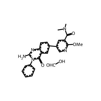 COc1ncc(-c2ccc3nc(N)n(-c4ccccc4)c(=O)c3c2)cc1C(=O)N(C)C.O=CO